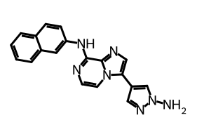 Nn1cc(-c2cnc3c(Nc4ccc5ccccc5c4)nccn23)cn1